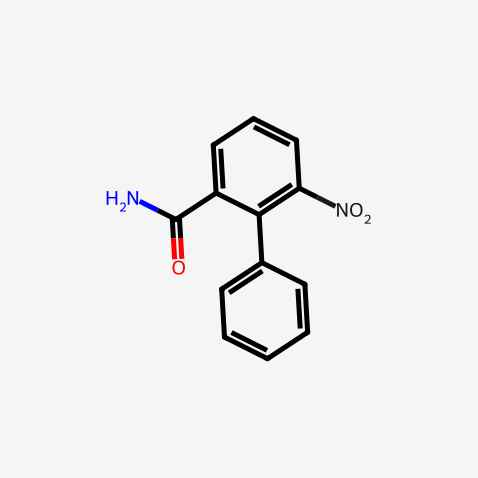 NC(=O)c1cccc([N+](=O)[O-])c1-c1ccccc1